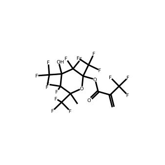 C=C(C(=O)OC1(C(F)(F)F)OC(C)(C(F)(F)F)C(F)(F)C(O)(C(F)(F)F)C1(F)F)C(F)(F)F